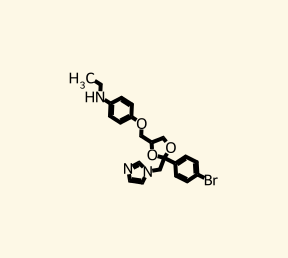 CCNc1ccc(OCC2COC(Cn3ccnc3)(c3ccc(Br)cc3)O2)cc1